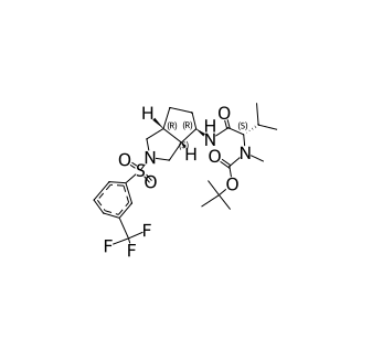 CC(C)[C@@H](C(=O)N[C@@H]1CC[C@H]2CN(S(=O)(=O)c3cccc(C(F)(F)F)c3)C[C@H]21)N(C)C(=O)OC(C)(C)C